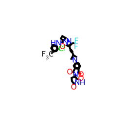 O=C1CCC(N2C(=O)c3ccc(N4CC(C#Cc5cn(C6(C(=O)Nc7ccc(C(F)(F)F)cc7Cl)CCC6)nc5C(F)F)C4)cc3C2=O)C(=O)N1